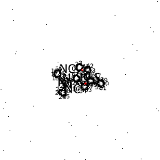 N#Cc1ccccc1-c1cc(-c2nc(-c3ccccc3)nc(-c3ccccc3)n2)cc(-c2ccccc2C#N)c1-n1c2ccccc2c2c3sc4ccccc4c3ccc21